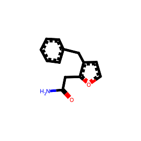 NC(=O)Cc1occc1Cc1ccccc1